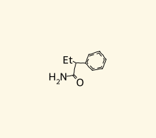 [CH2]CC(C(N)=O)c1ccccc1